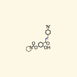 CN(C)c1ccc(/C=C/C(=O)c2ccc(OC(=O)N3CCCCC3)cc2O)cc1